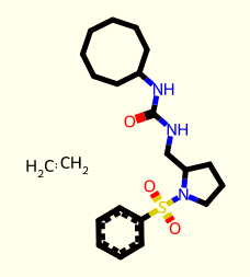 O=C(NCC1CCCN1S(=O)(=O)c1ccccc1)N[C]1CCCCCCC1.[CH2].[CH2]